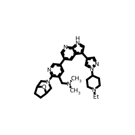 CCN1CCC(n2cc(-c3c[nH]c4ncc(-c5cnc(N6CC7CCC(C6)O7)c(CN(C)C)c5)cc34)cn2)CC1